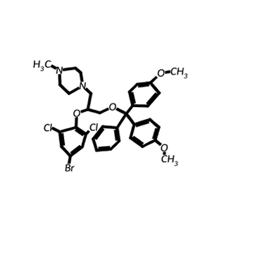 COc1ccc(C(OCC(CN2CCN(C)CC2)Oc2c(Cl)cc(Br)cc2Cl)(c2ccccc2)c2ccc(OC)cc2)cc1